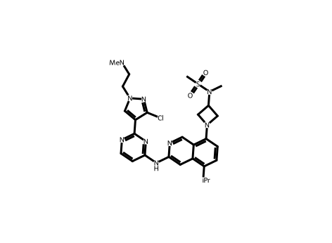 CNCCn1cc(-c2nccc(Nc3cc4c(C(C)C)ccc(N5CC(N(C)S(C)(=O)=O)C5)c4cn3)n2)c(Cl)n1